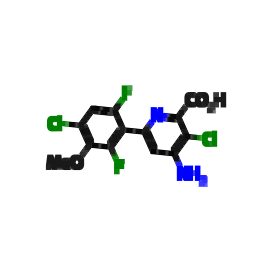 COc1c(Cl)cc(F)c(-c2cc(N)c(Cl)c(C(=O)O)n2)c1F